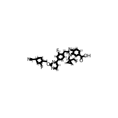 N#Cc1ccc(COc2nccc(-c3ccc(Cc4nc5ccc(C(=O)O)cc5n4CC4(CF)CC4)c(F)c3)n2)c(F)c1